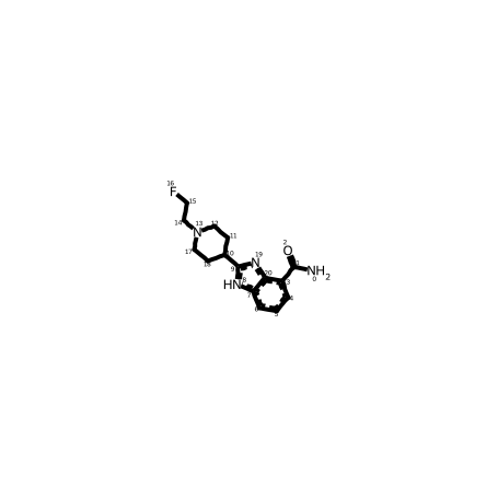 NC(=O)c1cccc2[nH]c(C3CCN(CCF)CC3)nc12